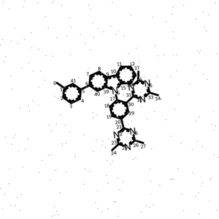 Cc1cccc(-c2ccc3c4ccccc4n(-c4ccc(-c5nc(C)nc(C)n5)cc4-c4nc(C)nc(C)n4)c3c2)c1